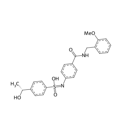 COc1ccccc1CNC(=O)c1ccc(N=S(=O)(O)c2ccc([C@@H](C)O)cc2)cc1